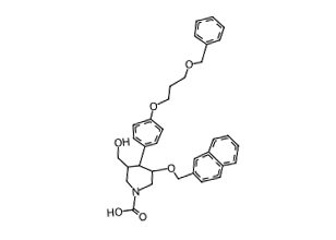 O=C(O)N1CC(CO)C(c2ccc(OCCCOCc3ccccc3)cc2)C(OCc2ccc3ccccc3c2)C1